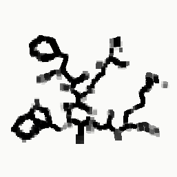 N=C(N)NCCC[C@H](NC(=O)[C@@H](N)Cc1ccccc1)C(=O)N[C@@H](Cc1c[nH]c2ccccc12)C(=O)NCC(=O)N[C@@H](CCCCN)C(=O)O